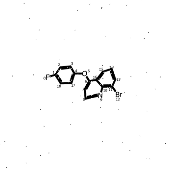 Fc1ccc(Oc2ccnc3c(Br)cccc23)cc1